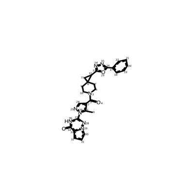 Cc1c(C(=O)N2CCC3(CC2)CC3c2nnc(-c3ccccc3)o2)cnn1-c1nn2cccc2c(=O)[nH]1